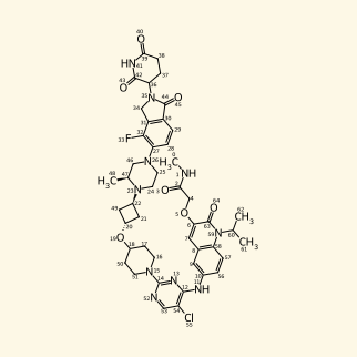 CNC(=O)COc1cc2cc(Nc3nc(N4CCC(O[C@H]5C[C@H](N6CCN(c7ccc8c(c7F)CN(C7CCC(=O)NC7=O)C8=O)C[C@@H]6C)C5)CC4)ncc3Cl)ccc2n(C(C)C)c1=O